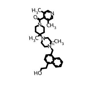 Cc1cncc(C)c1C(=O)N1CCC(C)(N2CCN(Cc3ccc(CCO)c4ccccc34)[C@@H](C)C2)CC1